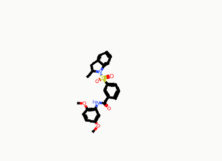 COc1ccc(OC)c(NC(=O)c2cccc(S(=O)(=O)N3c4ccccc4CC3C)c2)c1